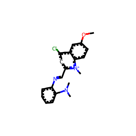 COc1ccc2c(c1)c(Cl)cc(C=Nc1ccccc1N(C)C)[n+]2C